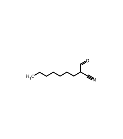 CCCCCCCC(C#N)C=O